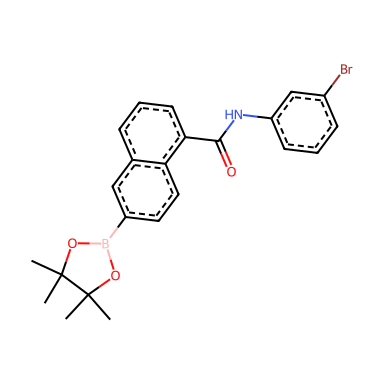 CC1(C)OB(c2ccc3c(C(=O)Nc4cccc(Br)c4)cccc3c2)OC1(C)C